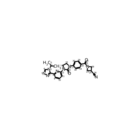 CC(C)n1cnnc1-c1cccc(N2CCN(c3ccc(C(=O)N4CC(C#N)C4)cc3)C2=O)n1